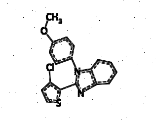 COc1ccc(-n2c(-c3sccc3Cl)nc3ccccc32)cc1